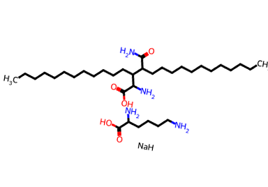 CCCCCCCCCCCCC(C(N)=O)C(CCCCCCCCCCCC)C(N)C(=O)O.NCCCCC(N)C(=O)O.[NaH]